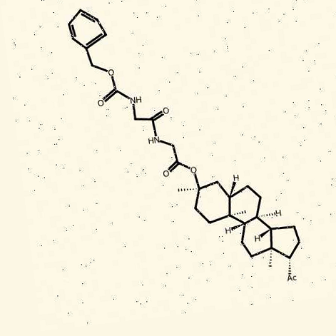 CC(=O)[C@H]1CC[C@H]2[C@@H]3CC[C@H]4C[C@](C)(OC(=O)CNC(=O)CNC(=O)OCc5ccccc5)CC[C@]4(C)[C@H]3CC[C@]12C